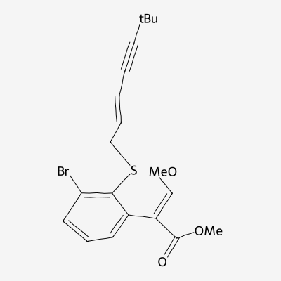 CO/C=C(/C(=O)OC)c1cccc(Br)c1SC/C=C/C#CC(C)(C)C